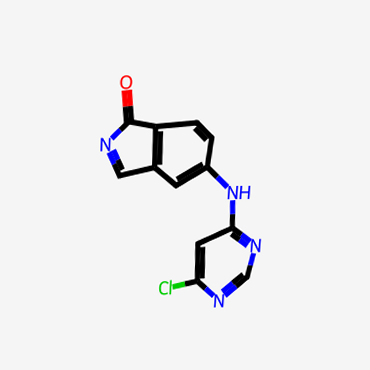 O=C1N=Cc2cc(Nc3cc(Cl)ncn3)ccc21